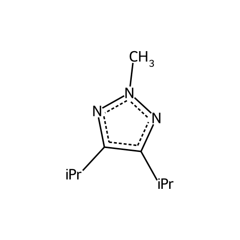 CC(C)c1nn(C)nc1C(C)C